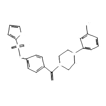 COc1cccc(N2CCN(C(=O)c3ccc(NS(=O)(=O)c4cccs4)cc3)CC2)c1